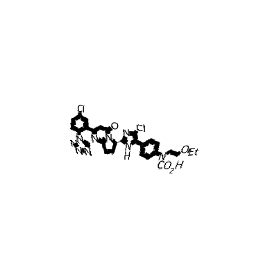 CCOCCN(C(=O)O)c1ccc(-c2[nH]c([C@@H]3CCc4nc(-c5cc(Cl)ccc5-n5cnnn5)cc(=O)n43)nc2Cl)cc1